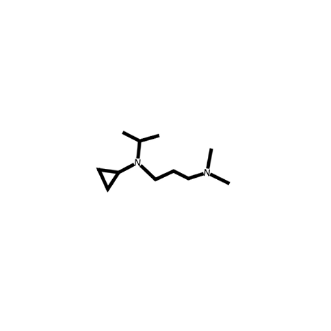 CC(C)N(CCCN(C)C)C1CC1